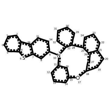 c1ccc2c(c1)sc1cc(-n3c4cccc(c4)oc4ccc5cccc(c5c4)c4ccccc43)ccc12